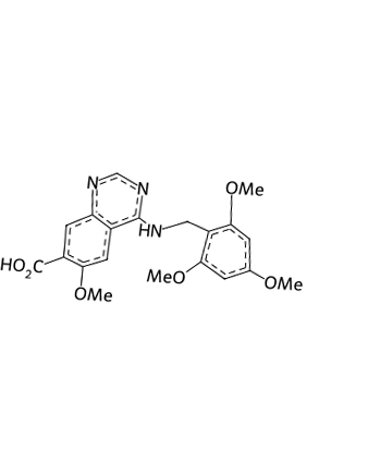 COc1cc(OC)c(CNc2ncnc3cc(C(=O)O)c(OC)cc23)c(OC)c1